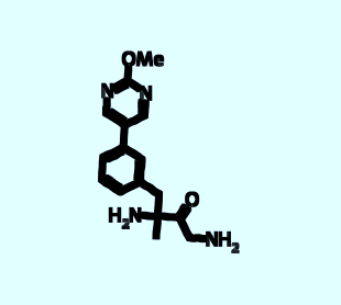 COc1ncc(-c2cccc(CC(C)(N)C(=O)CN)c2)cn1